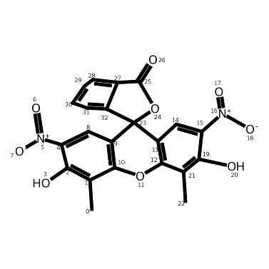 Cc1c(O)c([N+](=O)[O-])cc2c1Oc1c(cc([N+](=O)[O-])c(O)c1C)C21OC(=O)c2ccccc21